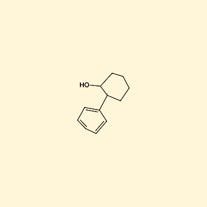 OC1CCCC[C]1c1ccccc1